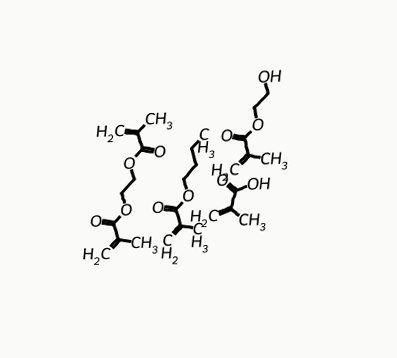 C=C(C)C(=O)O.C=C(C)C(=O)OCCCC.C=C(C)C(=O)OCCO.C=C(C)C(=O)OCCOC(=O)C(=C)C